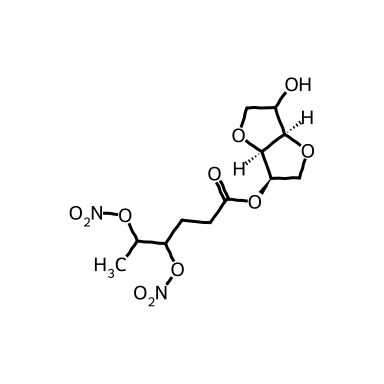 CC(O[N+](=O)[O-])C(CCC(=O)O[C@@H]1CO[C@@H]2C(O)CO[C@@H]21)O[N+](=O)[O-]